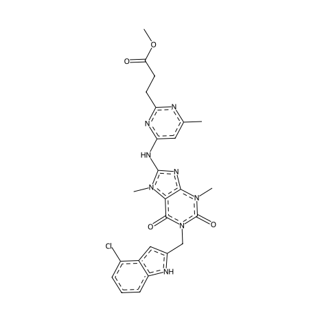 COC(=O)CCc1nc(C)cc(Nc2nc3c(c(=O)n(Cc4cc5c(Cl)cccc5[nH]4)c(=O)n3C)n2C)n1